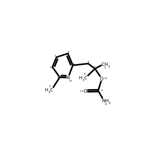 Cc1cccc(CC(C)(C)OC(N)=O)n1